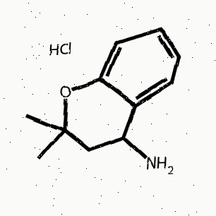 CC1(C)CC(N)c2ccccc2O1.Cl